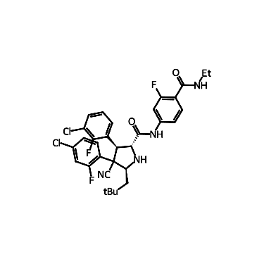 CCNC(=O)c1ccc(NC(=O)[C@@H]2N[C@@H](CC(C)(C)C)C(C#N)(c3ccc(Cl)cc3F)[C@H]2c2cccc(Cl)c2F)cc1F